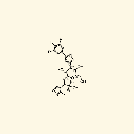 CCC(O)(CC)C(S[C@@H]1O[C@H](CO)[C@H](O)[C@H](n2cc(-c3cc(F)c(F)c(F)c3)nn2)[C@H]1O)c1conc1C